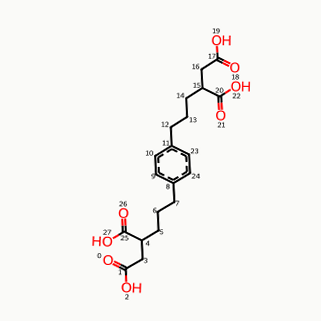 O=C(O)CC(CCCc1ccc(CCCC(CC(=O)O)C(=O)O)cc1)C(=O)O